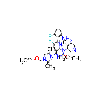 C=CCOCN1C[C@H](C)N(c2nc(=O)n(C3C(C)=CC=NC3C(C)C)c3nc(-c4c(N)cccc4F)c(F)cc23)C[C@H]1C